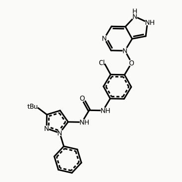 CC(C)(C)c1cc(NC(=O)Nc2ccc(ON3C=NC=C4NNC=C43)c(Cl)c2)n(-c2ccccc2)n1